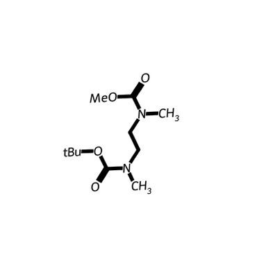 COC(=O)N(C)CCN(C)C(=O)OC(C)(C)C